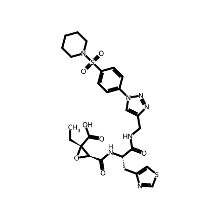 CC[C@]1(C(=O)O)O[C@@H]1C(=O)N[C@@H](Cc1cscn1)C(=O)NCc1cn(-c2ccc(S(=O)(=O)N3CCCCC3)cc2)nn1